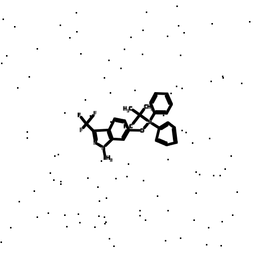 Bn1nc(C(F)(F)F)c2ccc(O[Si](c3ccccc3)(c3ccccc3)C(C)(C)C)cc21